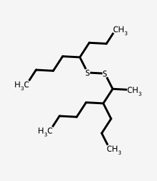 CCCCC(CCC)SSC(C)C(CCC)CCCC